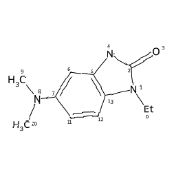 CCN1C(=O)[N]c2cc(N(C)C)ccc21